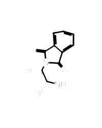 CC[C@@H](N)[C@H](C)N1C(=O)c2ccccc2C1=O